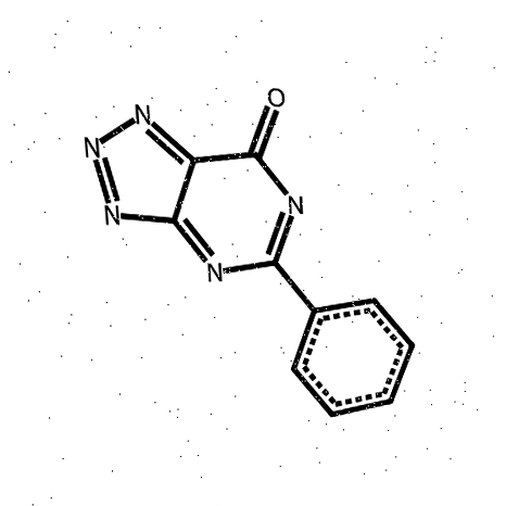 O=C1N=C(c2ccccc2)N=C2N=NN=C12